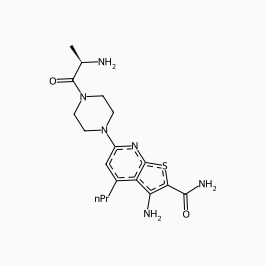 CCCc1cc(N2CCN(C(=O)[C@@H](C)N)CC2)nc2sc(C(N)=O)c(N)c12